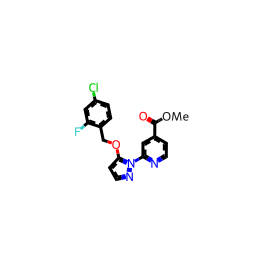 COC(=O)c1ccnc(-n2nccc2OCc2ccc(Cl)cc2F)c1